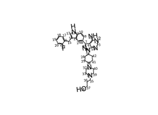 Nc1ncnc2c1c(-c1ccc3[nH]cc(Cc4ccccc4F)c3c1)nn2C1CCC(N2CCN(CCCO)CC2)CC1